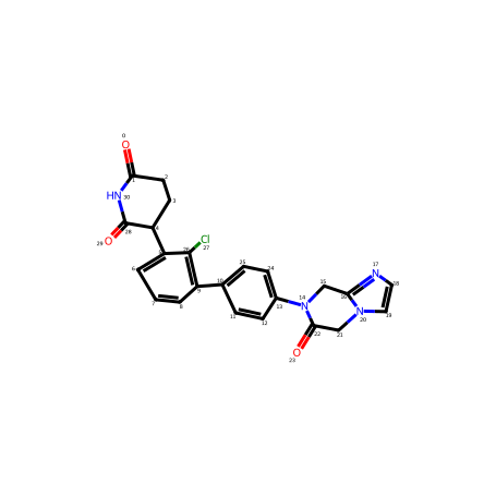 O=C1CCC(c2cccc(-c3ccc(N4Cc5nccn5CC4=O)cc3)c2Cl)C(=O)N1